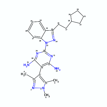 Cc1nn(C)c(C)c1-c1c(N)nc(-n2nc(CCC3CCCC3)c3ccccc32)nc1N